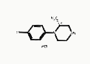 C[C@@H]1CNCCN1c1ccc(Cl)cc1.Cl